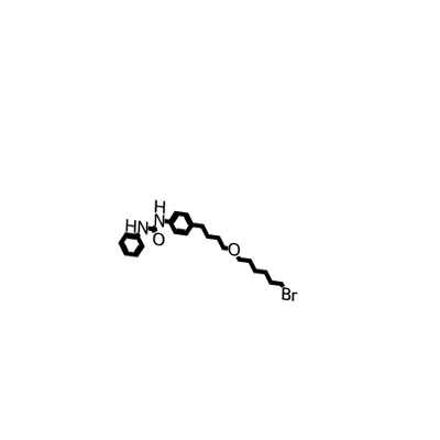 O=C(Nc1ccccc1)Nc1ccc(CCCCOCCCCCCBr)cc1